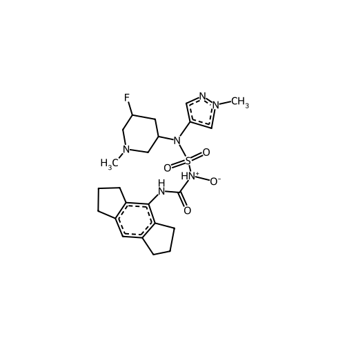 CN1CC(F)CC(N(c2cnn(C)c2)S(=O)(=O)[NH+]([O-])C(=O)Nc2c3c(cc4c2CCC4)CCC3)C1